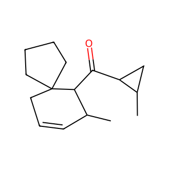 CC1C=CCC2(CCCC2)C1C(=O)C1CC1C